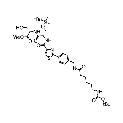 COC(=O)[C@H](CO)NC(=O)[C@H](CO[Si](C)(C)C(C)(C)C)NC(=O)c1csc(-c2ccc(CNC(=O)CCCCCNC(=O)OC(C)(C)C)cc2)n1